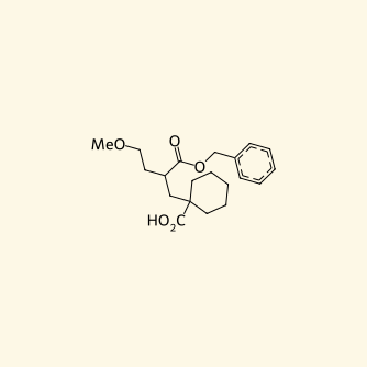 COCCC(CC1(C(=O)O)CCCCC1)C(=O)OCc1ccccc1